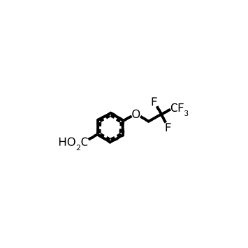 O=C(O)c1ccc(OCC(F)(F)C(F)(F)F)cc1